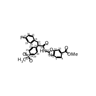 COC(=O)c1ccc2nc(NC(=O)C(Cc3ccc(F)cc3)c3ccc(S(C)(=O)=O)cc3)oc2c1